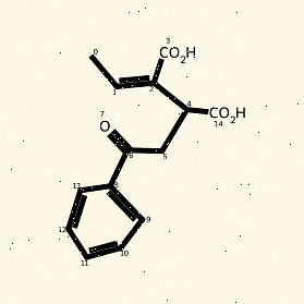 CC=C(C(=O)O)C(CC(=O)c1ccccc1)C(=O)O